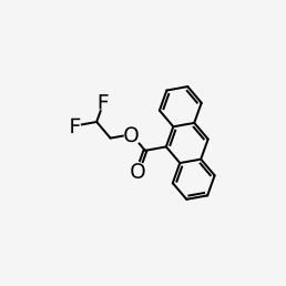 O=C(OCC(F)F)c1c2ccccc2cc2ccccc12